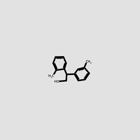 Cc1cccc(C(CO)c2ccccc2C)c1